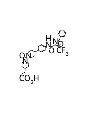 O=C(O)CCC1CCN(C(=O)N2CCC(c3ccc(NC(=O)c4nc(-c5ccccc5)oc4C(F)(F)F)cc3)CC2)CC1